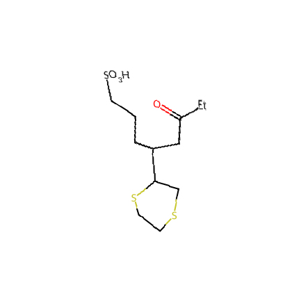 CCC(=O)CC(CCCS(=O)(=O)O)C1CSCCS1